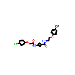 Cc1ccc(OCCNC(=O)C23CC(NC(=O)COc4ccc(Cl)cc4)(C2)C3)cc1